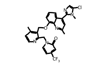 Cc1cc(-c2ncc(Cl)n2C)c2cccc(OCc3c(C)ccnc3Cn3ccc(C(F)(F)F)cc3=O)c2n1